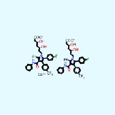 CC(C)c1c(C(=O)Nc2ccccc2)c(-c2ccc(C(F)(F)F)cc2)c(-c2ccc(F)cc2)n1CC[C@@H](O)C[C@@H](O)CC(=O)[O-].CC(C)c1c(C(=O)Nc2ccccc2)c(-c2ccc(C(F)(F)F)cc2)c(-c2ccc(F)cc2)n1CC[C@@H](O)C[C@@H](O)CC(=O)[O-].[Ca+2]